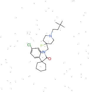 CC(C)(C)CCN1CCC(F)(CNC(=O)C2(c3ccc(Cl)cc3)CCCCC2)CC1